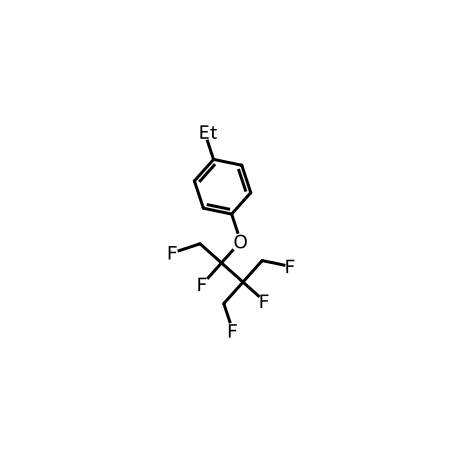 CCc1ccc(OC(F)(CF)C(F)(CF)CF)cc1